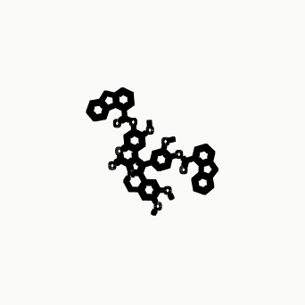 COc1cc2c(cc1OC)-c1c(-c3ccc(OC(=O)c4cccc5c4-c4ccccc4C5)c(OC)c3)c3c4cc(OC)c(OC(=O)c5cccc6c5-c5ccccc5C6)cc4oc(=O)c3n1CC2